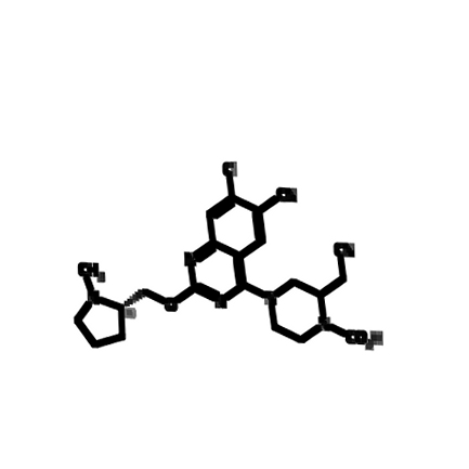 CN1CCC[C@H]1COc1nc(N2CCN(C(=O)O)C(CC#N)C2)c2cc(C#N)c(Cl)cc2n1